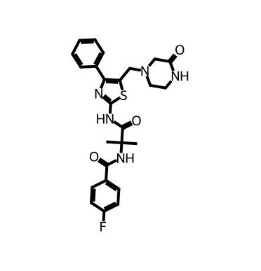 CC(C)(NC(=O)c1ccc(F)cc1)C(=O)Nc1nc(-c2ccccc2)c(CN2CCNC(=O)C2)s1